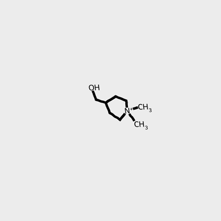 C[N+]1(C)CCC(CO)CC1